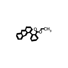 CCOC(=O)c1ccccc1-c1cccc2cc3ccccc3cc12